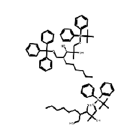 CCCCCCC(CO)C(O)C(C)(O)CO[Si](c1ccccc1)(c1ccccc1)C(C)(C)C.CCCCCC[C@@H](COC(c1ccccc1)(c1ccccc1)c1ccccc1)[C@@H](O)C(C)(O)CO[Si](c1ccccc1)(c1ccccc1)C(C)(C)C